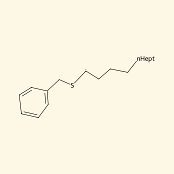 CCCCCCCCCC[CH]SCc1ccccc1